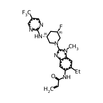 C=CC(=O)Nc1cc2nc(N3C[C@H](F)C[C@@H](Nc4ncc(C(F)(F)F)cn4)C3)n(C)c2cc1CC